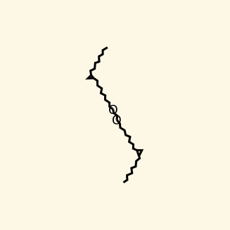 CCCCCCCCC1CC1CCCCCCCCOCCOCCCCCCCCC1CC1CCCCCCCC